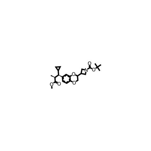 COC(=O)[C@@H](C)[C@H](c1ccc2c(c1)OC(C1CN(C(=O)OC(C)(C)C)C1)CO2)C1CC1